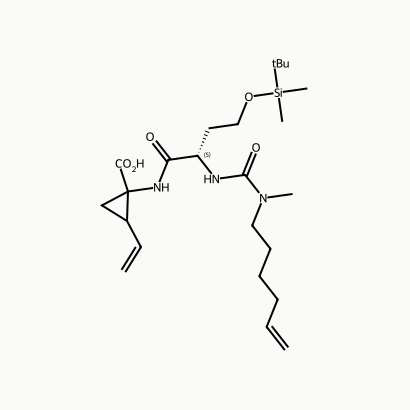 C=CCCCCN(C)C(=O)N[C@@H](CCO[Si](C)(C)C(C)(C)C)C(=O)NC1(C(=O)O)CC1C=C